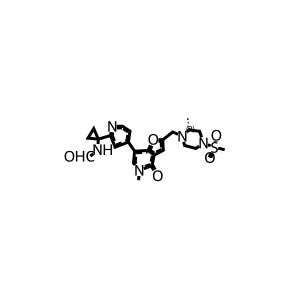 C[C@@H]1CN(S(C)(=O)=O)CCN1Cc1cc2c(=O)n(C)cc(-c3ccnc(C4(NC=O)CC4)c3)c2o1